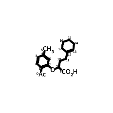 CC(=O)c1ccc(C)cc1OC(CCC1=CCCCC1)C(=O)O